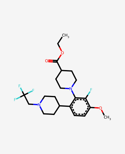 CCOC(=O)C1CCN(c2c(C3CCN(CC(F)(F)F)CC3)ccc(OC)c2F)CC1